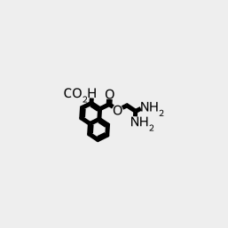 NC(N)COC(=O)c1c(C(=O)O)ccc2ccccc12